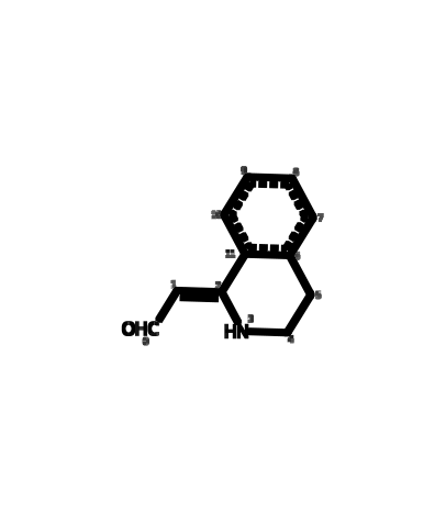 O=CC=C1NCCc2ccccc21